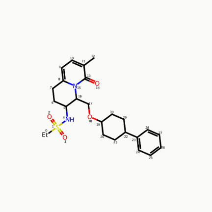 CCS(=O)(=O)NC1CCc2ccc(C)c(=O)n2C1COC1CCC(c2ccccc2)CC1